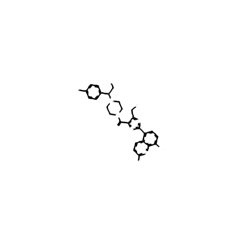 COc1ccc(-c2nc(C(=O)N3CCN(C(CO)c4ccc(Cl)cc4)CC3)c(CN)o2)c2ccc(C(F)(F)F)nc12